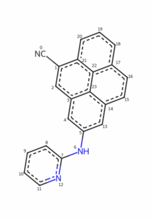 N#Cc1cc2cc(Nc3ccccn3)cc3ccc4cccc1c4c32